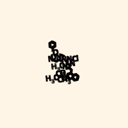 Cn1cc(Cc2cc(OC(=O)C(C)(C)C)cc3ccccc23)c2nc(Cl)nc(N3CCN(C(=O)OCc4ccccc4)C(CC#N)C3)c21